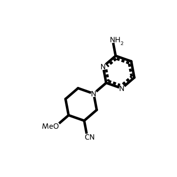 COC1CCN(c2nccc(N)n2)CC1C#N